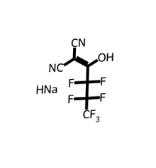 N#CC(C#N)=C(O)C(F)(F)C(F)(F)C(F)(F)F.[NaH]